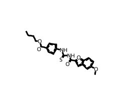 CCCCOC(=O)c1ccc(NC(=S)NC(=O)c2cc3cc(OC)ccc3o2)cc1